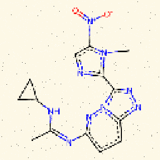 CC(=Nc1ccc2nnc(-c3ncc([N+](=O)[O-])n3C)n2n1)NC1CC1